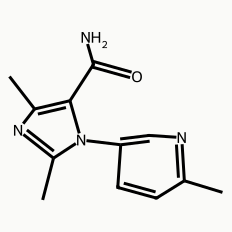 Cc1ccc(-n2c(C)nc(C)c2C(N)=O)cn1